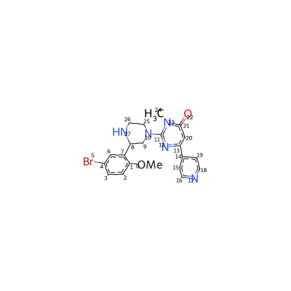 COc1ccc(Br)cc1C1CN(c2nc(-c3ccncc3)cc(=O)n2C)CCN1